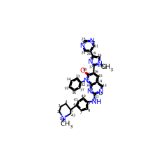 CN1CCCC(c2ccc(Nc3ncc4cc(-c5nc(-c6cncnc6)cn5C)c(=O)n(-c5ccccc5)c4n3)cc2)C1